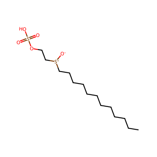 CCCCCCCCCCCC[S+]([O-])CCOS(=O)(=O)O